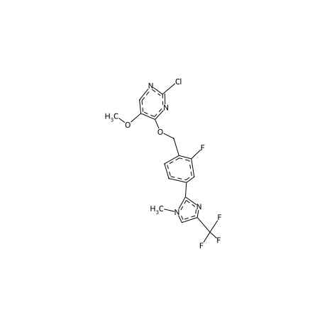 COc1cnc(Cl)nc1OCc1ccc(-c2nc(C(F)(F)F)cn2C)cc1F